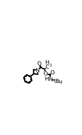 C[C@@H](OC(=O)NC(C)(C)C)C(=O)N1CC(c2ccccc2)C1